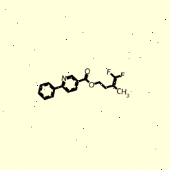 CC(CCOC(=O)c1ccc(-c2ccccc2)nc1)=C(F)F